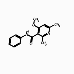 COc1cc(C)nc(C)c1C(=O)Nc1ccccc1